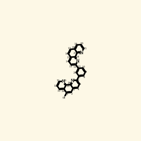 Ic1cc2ccc(-c3cccc(-c4ccc5ccc6cccnc6c5n4)c3)nc2c2ncccc12